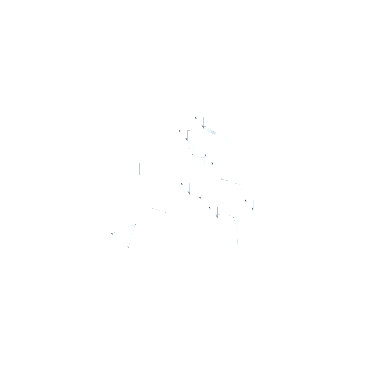 CC[C@@H]1c2nncn2-c2cnc(Cl)nc2N1CCC1CC1